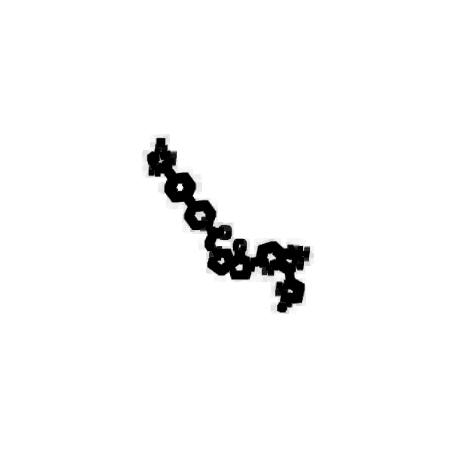 Cn1ccc(-c2n[nH]c3ccc(N4CC[C@]5(CCN(CC(=O)N6CC=C(c7ccc(-c8ncn(C)n8)cc7)CC6)C5)C4=O)nc23)n1